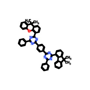 CC1(C)c2ccccc2Oc2c(-c3nc(-c4ccccc4)nc(-c4ccc(-c5nc(-c6ccccc6)nc(-c6cccc7c6-c6ccccc6C7(C)C)n5)cc4)n3)cccc21